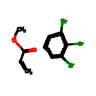 Brc1cccc(Br)c1Br.C=CC(=O)OC